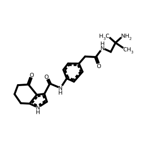 CC(C)(N)CNC(=O)Cc1ccc(NC(=O)c2c[nH]c3c2C(=O)CCC3)cc1